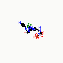 N#Cc1ccc(CCNC(=O)[C@@H]2CCN2c2cc(N3CCC(CCNc4c(NCS(=O)(=O)O)c(=O)c4=O)CC3)nc(C(F)(F)F)n2)cc1